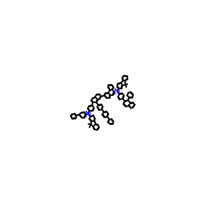 CC1(C)c2ccccc2-c2ccc(N(c3ccc(-c4ccccc4)cc3)c3ccc(-c4ccc5ccc(-c6ccc7cc(N(c8ccc(-c9ccc%10ccccc%10c9C9=CC=CCC9)cc8)c8ccc9c(c8)C(C)(C)c8ccccc8-9)c8ccccc8c7c6)cc5c4-c4ccc(-c5ccc(-c6ccccc6)cc5)cc4)cc3)cc21